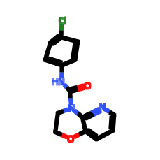 O=C(Nc1ccc(Cl)cc1)N1CCOc2cccnc21